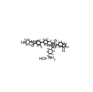 Cc1nc2ccc(NC(=O)[C@H](Cc3ccc(-c4ccc(C(=O)NC5CCNCC5)cc4C)cc3)NC(=O)[C@H]3CC[C@H](CN)CC3)cc2[nH]1.Cl